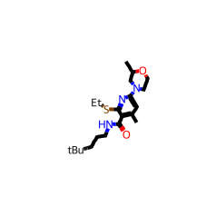 CCSc1nc(N2CCOC(C)C2)cc(C)c1C(=O)NCCCC(C)(C)C